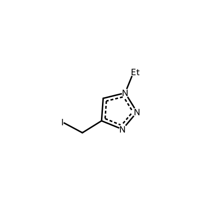 CCn1cc(CI)nn1